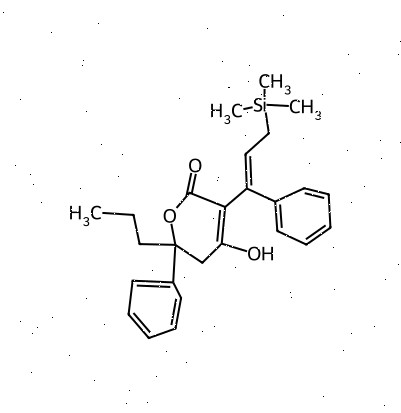 CCCC1(c2ccccc2)CC(O)=C(C(=CC[Si](C)(C)C)c2ccccc2)C(=O)O1